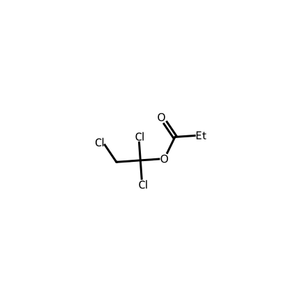 CCC(=O)OC(Cl)(Cl)CCl